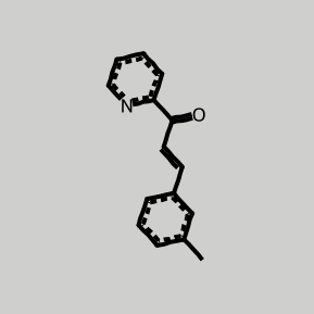 Cc1cccc(/C=C/C(=O)c2ccccn2)c1